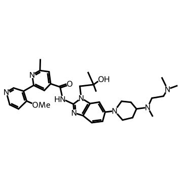 COc1ccncc1-c1cc(C(=O)Nc2nc3ccc(N4CCC(N(C)CCN(C)C)CC4)cc3n2CC(C)(C)O)cc(C)n1